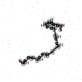 CC(COC(=O)Nc1cccc(Cc2cccc(NC(=O)OCCCCOC(=O)Nc3cccc(Cc4cccc(NC(=O)OCCOCCOC(=O)CCCCC(=O)OC(=O)Nc5cccc(Cc6cccc(NC(=O)OCCCOC(=O)Nc7cccc(Cc8cccc(NC(=O)OCC9CO9)c8)c7)c6)c5)c4)c3)c2)c1)(OC(=O)Nc1cccc(Cc2cccc(NC(=O)OCC3CO3)c2)c1)C(=O)O